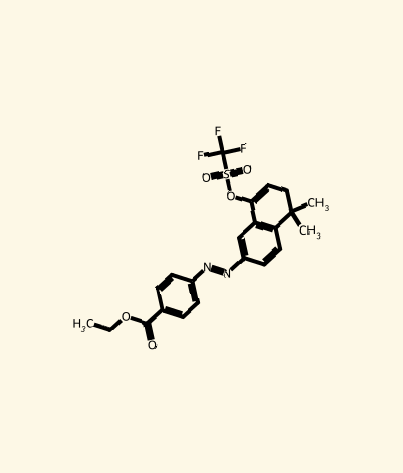 CCOC(=O)c1ccc(N=Nc2ccc3c(c2)C(OS(=O)(=O)C(F)(F)F)=CCC3(C)C)cc1